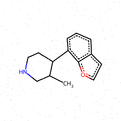 CC1CNCCC1c1cccc2ccoc12